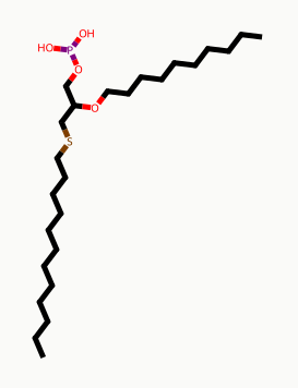 CCCCCCCCCCCCSCC(COP(O)O)OCCCCCCCCCC